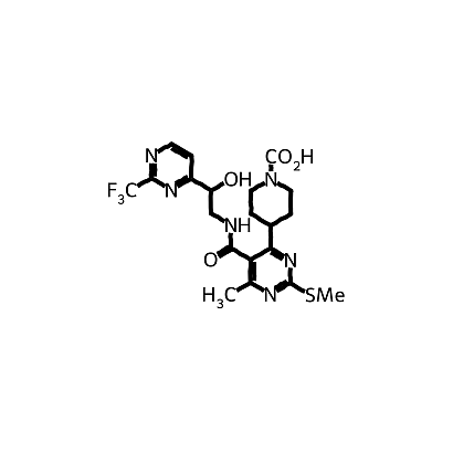 CSc1nc(C)c(C(=O)NCC(O)c2ccnc(C(F)(F)F)n2)c(C2CCN(C(=O)O)CC2)n1